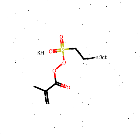 C=C(C)C(=O)OOS(=O)(=O)CCCCCCCCCC.[KH]